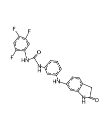 O=C1Cc2ccc(Nc3cccc(NC(=O)Nc4cc(F)c(F)cc4F)c3)cc2N1